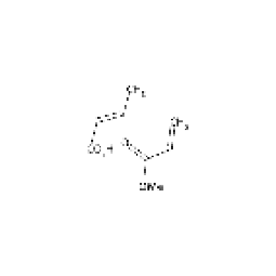 C/C=C/C(=O)O.C=CC(=O)OC